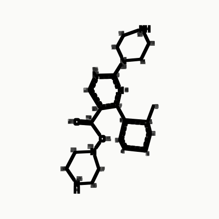 Cc1ccccc1-c1nc(N2CCNCC2)ncc1C(=O)ON1CCNCC1